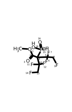 COC(=O)C(C(F)(F)CF)(C(F)(F)CF)P(=O)(O)O